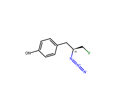 [N-]=[N+]=N[C@H](CF)Cc1ccc(N=O)cc1